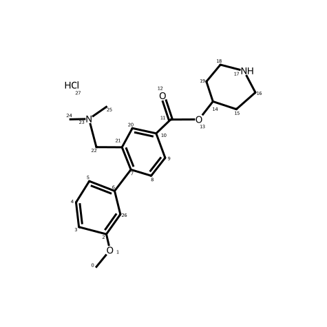 COc1cccc(-c2ccc(C(=O)OC3CCNCC3)cc2CN(C)C)c1.Cl